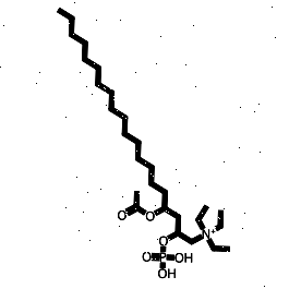 CCCCCCCCCCCCCCCCC(CC(C[N+](CC)(CC)CC)OP(=O)(O)O)OC(C)=O